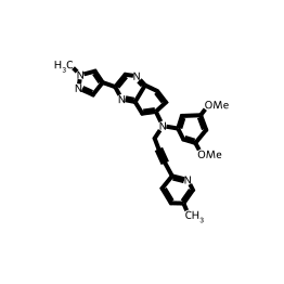 COc1cc(OC)cc(N(CC#Cc2ccc(C)cn2)c2ccc3ncc(-c4cnn(C)c4)nc3c2)c1